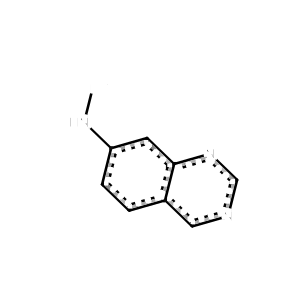 CCCNc1ccc2cncnc2c1